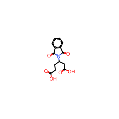 O=C(O)CCC(CC(=O)O)N1C(=O)c2ccccc2C1=O